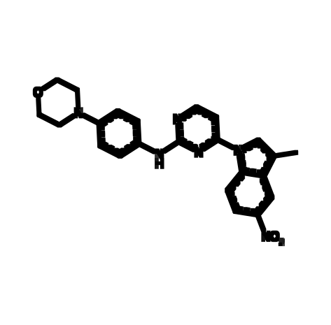 Cc1cn(-c2ccnc(Nc3ccc(N4CCOCC4)cc3)n2)c2ccc([N+](=O)[O-])cc12